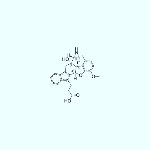 COc1ccc(C)c2c1O[C@H]1c3c(c4ccccc4n3CCC(=O)O)C[C@@]3(O)[C@@H]4NC4C[C@]213